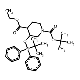 CCOC(=O)C1CCN(C(=O)OC(C)(C)C)CC1O[Si](c1ccccc1)(c1ccccc1)C(C)(C)C